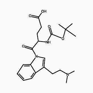 CN(C)CCc1cn(C(=O)C(CCC(=O)O)NC(=O)OC(C)(C)C)c2ccccc12